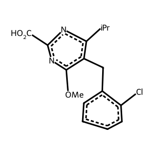 COc1nc(C(=O)O)nc(C(C)C)c1Cc1ccccc1Cl